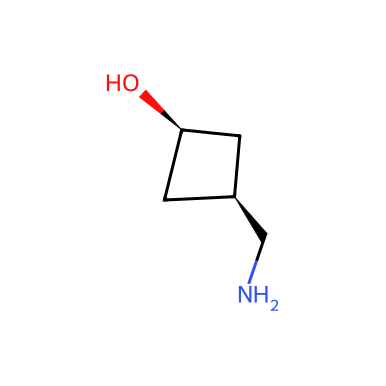 NC[C@H]1C[C@@H](O)C1